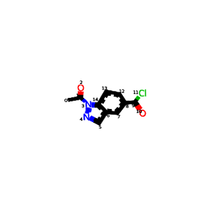 CC(=O)n1ncc2cc(C(=O)Cl)ccc21